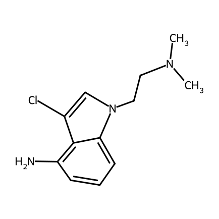 CN(C)CCn1cc(Cl)c2c(N)cccc21